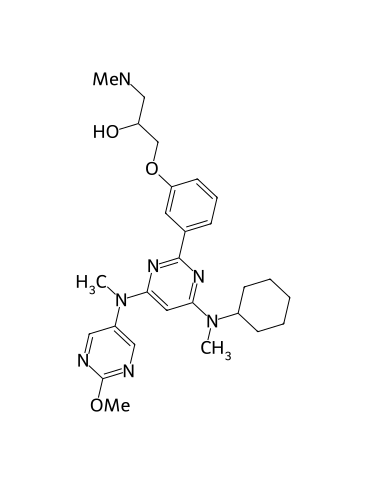 CNCC(O)COc1cccc(-c2nc(N(C)c3cnc(OC)nc3)cc(N(C)C3CCCCC3)n2)c1